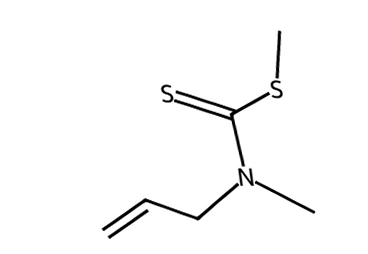 C=CCN(C)C(=S)SC